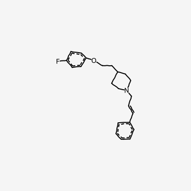 Fc1ccc(OCCC2CCN(CC=Cc3ccccc3)CC2)cc1